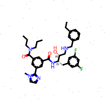 CCCN(CCC)C(=O)c1cc(C(=O)N[C@@H](Cc2cc(F)cc(F)c2)[C@H](O)CNCc2cccc(CC)c2)cc(-c2nccn2C)c1